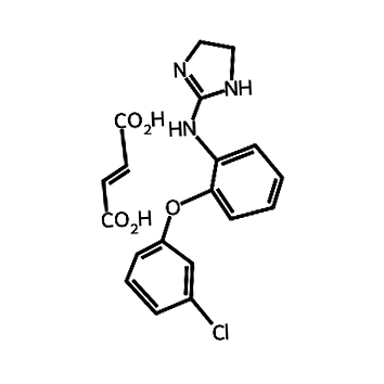 Clc1cccc(Oc2ccccc2NC2=NCCN2)c1.O=C(O)/C=C/C(=O)O